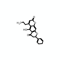 CCCc1cc(=O)oc2cc3c(c(O)c12)C(=O)CC(C1=CCCC=C1)O3